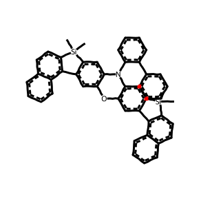 C[Si]1(C)c2cc3c(cc2-c2c1ccc1ccccc21)Oc1cc2c(cc1N3c1ccccc1-c1ccccc1)[Si](C)(C)c1ccc3ccccc3c1-2